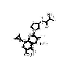 CC(N)C(=O)NC1CCN(c2nc3c(cc2F)c(=O)c(C(=O)O)cn3C2CC2)C1.Cl